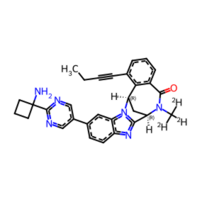 [2H]C([2H])([2H])N1C(=O)c2cccc(C#CCC)c2[C@H]2C[C@@H]1c1nc3ccc(-c4cnc(C5(N)CCC5)nc4)cc3n12